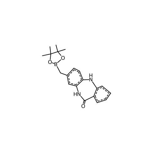 CC1(C)OB(Cc2ccc3c(c2)NC(=O)c2ccccc2N3)OC1(C)C